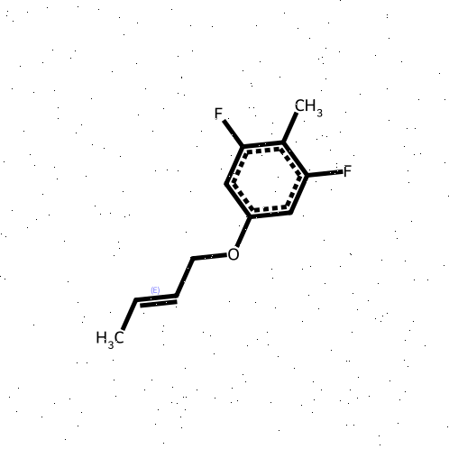 C/C=C/COc1cc(F)c(C)c(F)c1